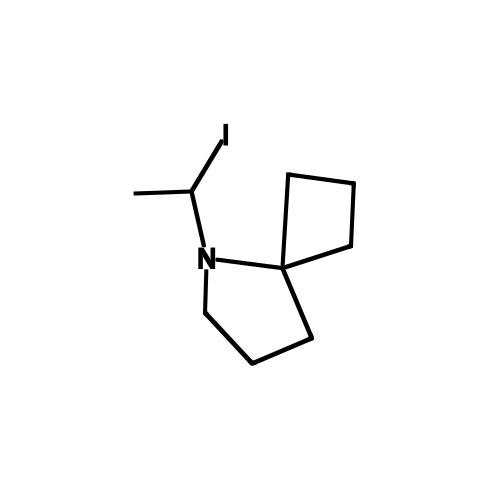 CC(I)N1CCCC12CCC2